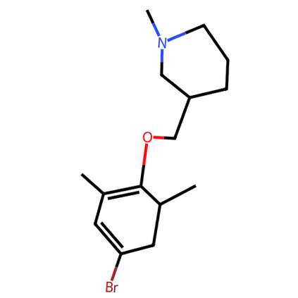 CC1=C(OCC2CCCN(C)C2)C(C)CC(Br)=C1